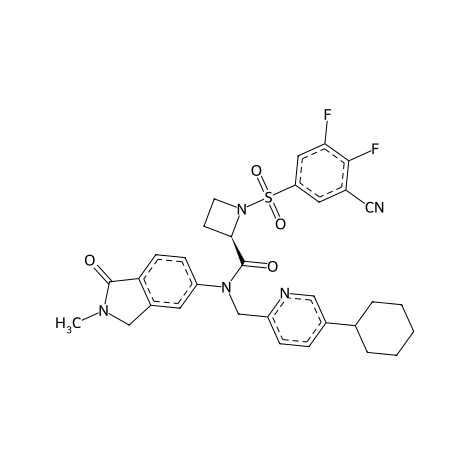 CN1Cc2cc(N(Cc3ccc(C4CCCCC4)cn3)C(=O)[C@H]3CCN3S(=O)(=O)c3cc(F)c(F)c(C#N)c3)ccc2C1=O